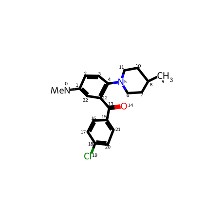 CNc1ccc(N2CCC(C)CC2)c(C(=O)c2ccc(Cl)cc2)c1